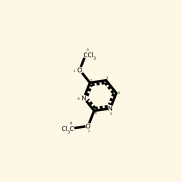 ClC(Cl)(Cl)Oc1ccnc(OC(Cl)(Cl)Cl)n1